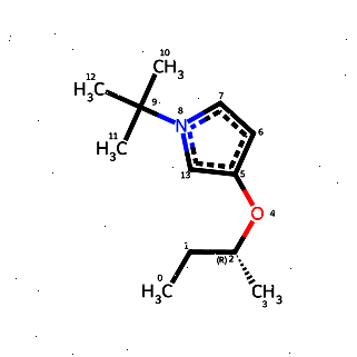 CC[C@@H](C)Oc1ccn(C(C)(C)C)c1